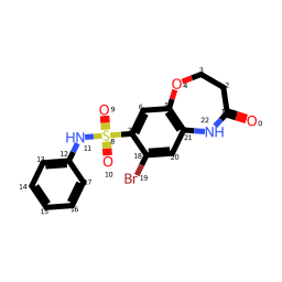 O=C1CCOc2cc(S(=O)(=O)Nc3ccccc3)c(Br)cc2N1